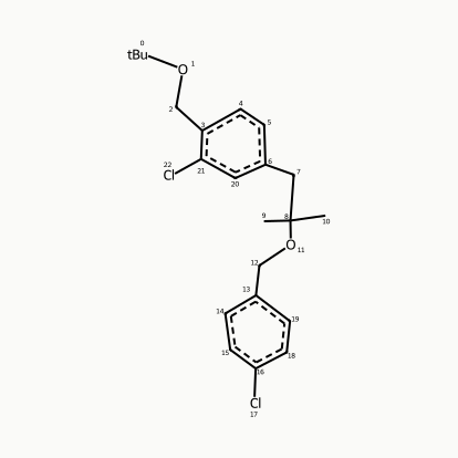 CC(C)(C)OCc1ccc(CC(C)(C)OCc2ccc(Cl)cc2)cc1Cl